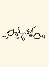 CCSP(=O)(Oc1ccc(OC)cc1)SCn1c(=O)on(-c2cccc(SC)c2)c1=O